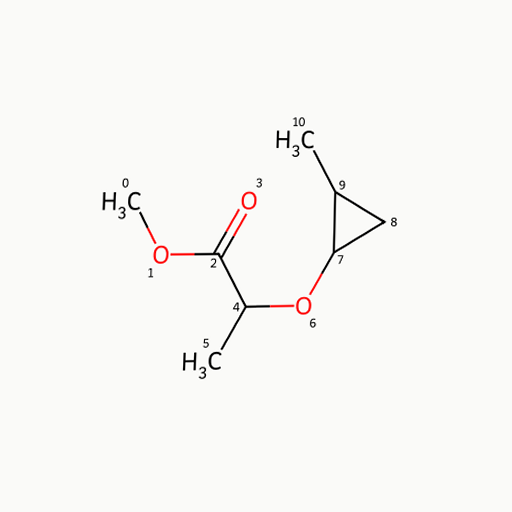 COC(=O)C(C)OC1CC1C